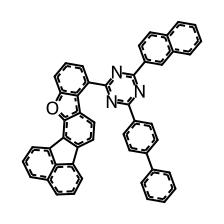 c1ccc(-c2ccc(-c3nc(-c4ccc5ccccc5c4)nc(-c4cccc5oc6c7c(ccc6c45)-c4cccc5cccc-7c45)n3)cc2)cc1